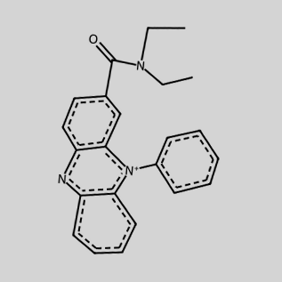 CCN(CC)C(=O)c1ccc2nc3ccccc3[n+](-c3ccccc3)c2c1